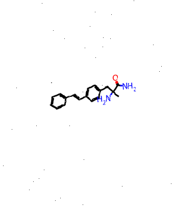 CC(N)(Cc1ccc(C=Cc2ccccc2)cc1)C(N)=O